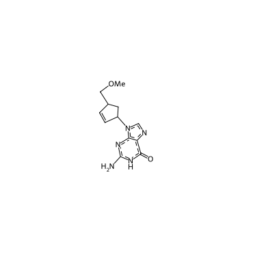 COCC1C=CC(n2cnc3c(=O)[nH]c(N)nc32)C1